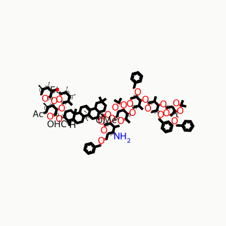 CCC1O[C@@H](OC2[C@H](O[C@H]3CCC4(C)C5CC=C6C7CC(C)(C)CC[C@]7(C(=O)O[C@@H]7OC(COCc8ccccc8)[C@H](N)C(C)C7O[C@@H]7OC(C)[C@H](O[C@@H]8OC[C@@H](OCc9ccccc9)C(O[C@@H]9OC[C@@H](OCc%10ccccc%10)C(O[C@@H]%10OC[C@]%11(COCc%12ccccc%12)OC(C)(C)OC%10%11)C9C)C8C)C8OC(C)(C)OC87)C(OC)C[C@@]6(C)[C@@]5(C)CC[C@H]4[C@@]3(C)C=O)OC(C(C)=O)[C@@H](C)[C@@H]2O[C@@H]2OC[C@@H](C)[C@H](C)C2C)C(C)[C@@H](C)[C@H]1C